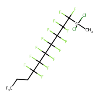 C[Si](Cl)(Cl)C(F)(F)C(F)(F)C(F)(F)C(F)(F)C(F)(F)C(F)(F)C(F)(F)CCC(F)(F)F